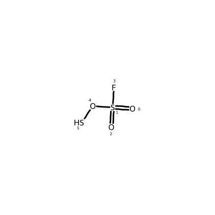 O=S(=O)(F)OS